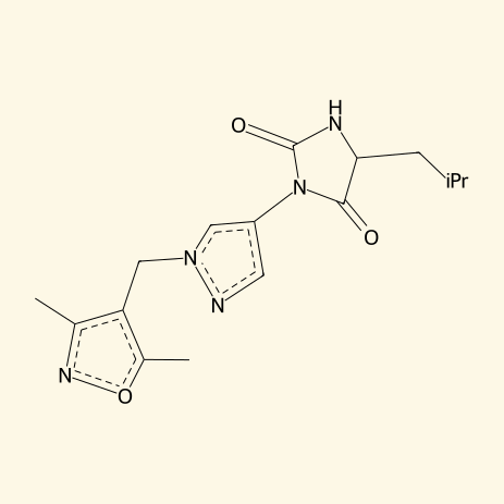 Cc1noc(C)c1Cn1cc(N2C(=O)NC(CC(C)C)C2=O)cn1